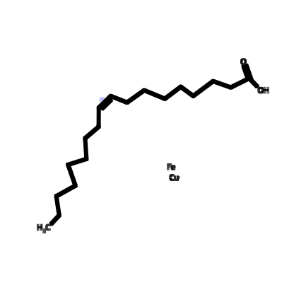 CCCCCCCC/C=C\CCCCCCCC(=O)O.[Cu].[Fe]